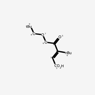 CCCC/C(=C\C(=O)O)C(=O)OOOC(C)(C)C